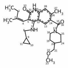 CC/C(C)=C\c1c(NCC2CC2)c2cc(C(=O)N3CCC(COC)CC3)c(C)cc2[nH]c1=O